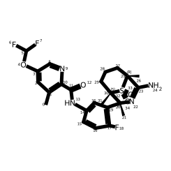 Cc1cc(OC(F)F)cnc1C(=O)Nc1ccc(F)c([C@@]2(C)N=C(N)[C@@]3(C)CCC[C@]2(C)S3(=O)=O)c1